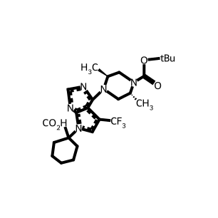 C[C@@H]1CN(c2ncnc3c2c(C(F)(F)F)cn3C2(C(=O)O)CCCCC2)[C@@H](C)CN1C(=O)OC(C)(C)C